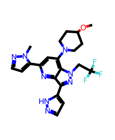 COC1CCN(c2cc(-c3ccnn3C)nc3c(-c4ccn[nH]4)nn(CC(F)(F)F)c23)CC1